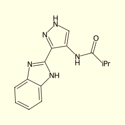 CC(C)C(=O)Nc1c[nH]nc1-c1nc2ccccc2[nH]1